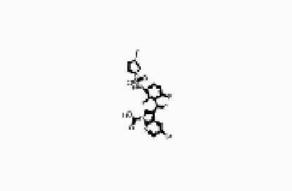 O=C(c1c(F)ccc(NS(=O)(=O)N2CC[C@@H](F)C2)c1F)c1cn(C(=O)O)c2ncc(Br)cc12